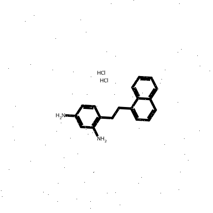 Cl.Cl.Nc1ccc(CCc2cccc3ccccc23)c(N)c1